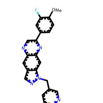 COc1ccc(-c2cnc3cc4cnn(Cc5cccnc5)c4cc3n2)cc1F